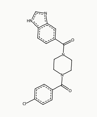 O=C(c1ccc(Cl)cc1)N1CCN(C(=O)c2ccc3[nH]cnc3c2)CC1